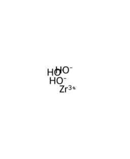 [OH-].[OH-].[OH-].[Zr+3]